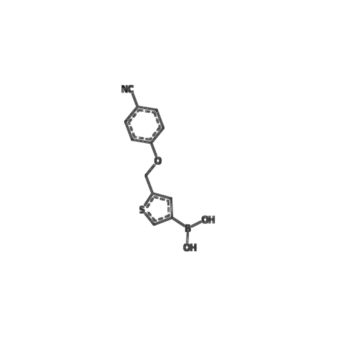 N#Cc1ccc(OCc2cc(B(O)O)cs2)cc1